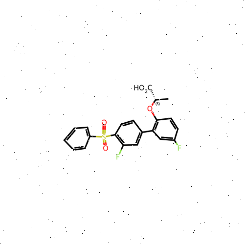 C[C@H](Oc1ccc(F)cc1-c1ccc(S(=O)(=O)c2ccccc2)c(F)c1)C(=O)O